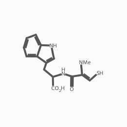 CN/C(=C\S)C(=O)NC(Cc1c[nH]c2ccccc12)C(=O)O